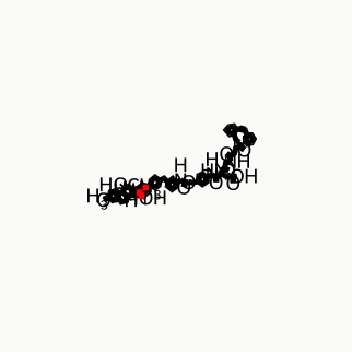 C[C@]12C=CC(=O)C=C1CC[C@@H]1[C@@H]2[C@@H](O)C[C@@]2(C)[C@H]1C[C@H]1CN(c3ccc(Cc4cccc(NC(=O)OCc5ccc(NC(=O)[C@H](CCC(=O)O)NC(=O)CNC(=O)CCC(=O)N6Cc7ccccc7C#Cc7ccccc76)cc5)c4)cc3)C[C@]12C(=O)CO